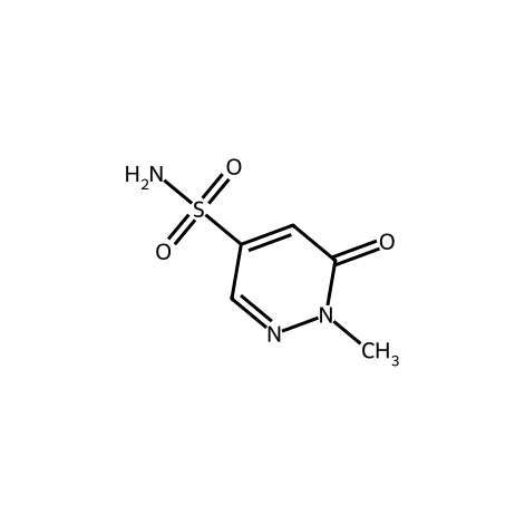 Cn1ncc(S(N)(=O)=O)cc1=O